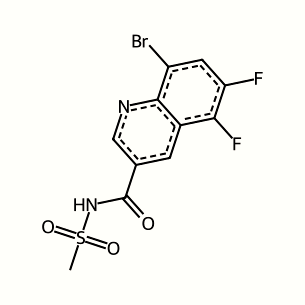 CS(=O)(=O)NC(=O)c1cnc2c(Br)cc(F)c(F)c2c1